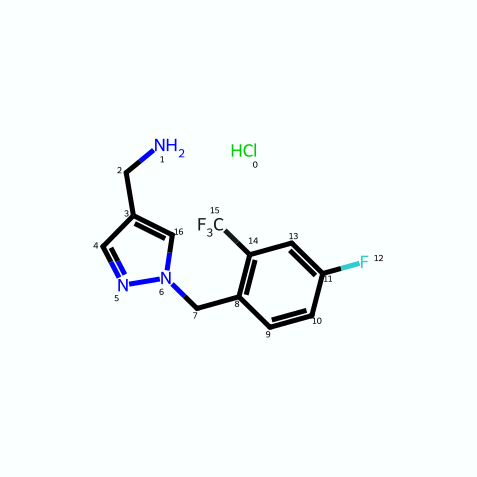 Cl.NCc1cnn(Cc2ccc(F)cc2C(F)(F)F)c1